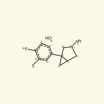 CCCN1CC2CC2(c2ccc(F)c(C)c2)C1.Cl